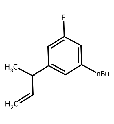 C=C[C](C)c1cc(F)cc(CCCC)c1